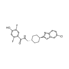 O=C(NC[C@H]1CC[C@H](n2cc3cc(Cl)ccc3n2)CC1)c1cc(F)c(O)cc1F